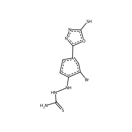 NC(=S)NNc1ccc(-c2nnc(S)o2)cc1Br